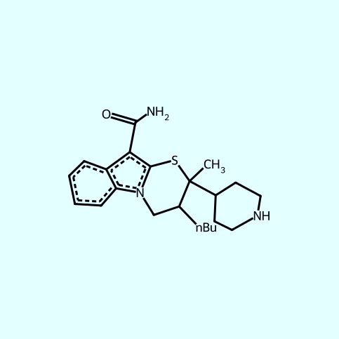 CCCCC1Cn2c(c(C(N)=O)c3ccccc32)SC1(C)C1CCNCC1